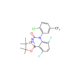 CC1(C)OB(c2c(F)ccc(F)c2N(C(N)=O)c2cc(C(F)(F)F)ccc2Cl)OC1(C)C